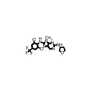 Cn1c(Nc2c(Cl)cc(C(F)(F)F)cc2Cl)nc2cnc(N[C@@H]3CCOC3)nc21